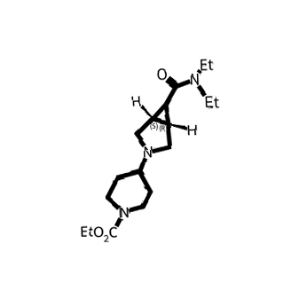 CCOC(=O)N1CCC(N2C[C@@H]3C(C(=O)N(CC)CC)[C@@H]3C2)CC1